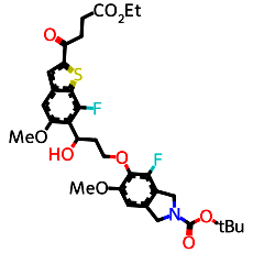 CCOC(=O)CCC(=O)c1cc2cc(OC)c(C(O)CCOc3c(OC)cc4c(c3F)CN(C(=O)OC(C)(C)C)C4)c(F)c2s1